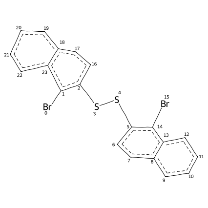 Brc1c(SSc2ccc3ccccc3c2Br)ccc2ccccc12